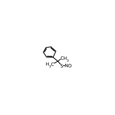 CC(C)(SN=O)c1ccccc1